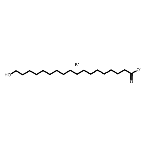 O=C([O-])CCCCCCCCCCCCCCCCCO.[K+]